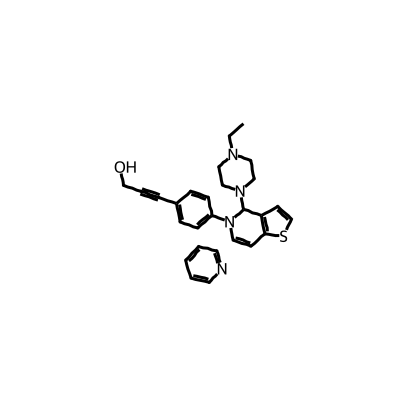 CCN1CCN(C2c3ccsc3C=CN2c2ccc(C#CCO)cc2)CC1.c1ccncc1